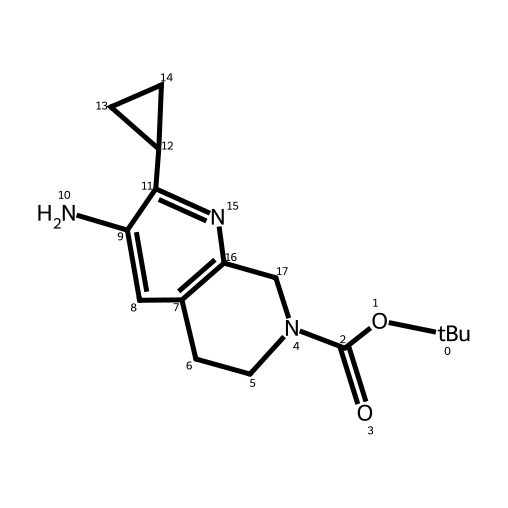 CC(C)(C)OC(=O)N1CCc2cc(N)c(C3CC3)nc2C1